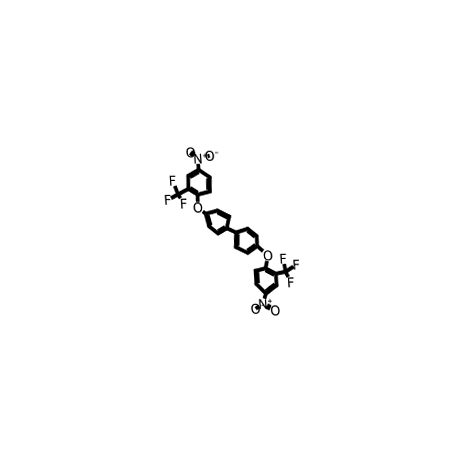 O=[N+]([O-])c1ccc(Oc2ccc(-c3ccc(Oc4ccc([N+](=O)[O-])cc4C(F)(F)F)cc3)cc2)c(C(F)(F)F)c1